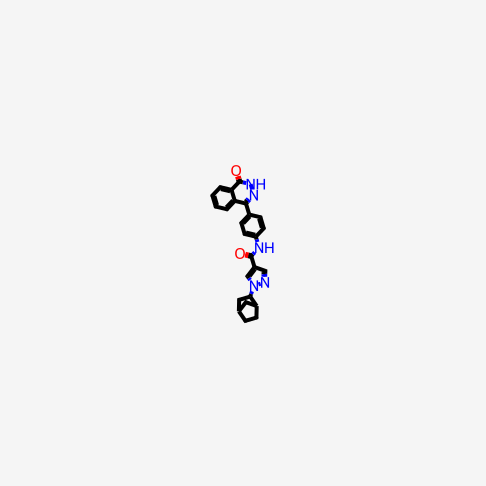 O=C(Nc1ccc(-c2n[nH]c(=O)c3ccccc23)cc1)c1cnn(C2CC3CCC2C3)c1